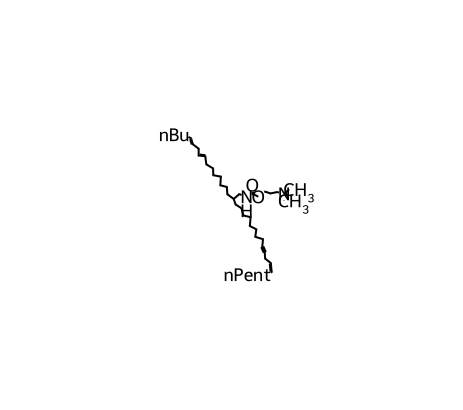 CCCC/C=C/C/C=C/CCCCCCCC(CCCCCCCCC#CC/C=C\CCCCC)CNC(=O)OCCCN(C)C